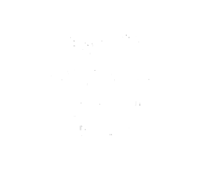 O=C([O-])Cc1ccccc1[N+](=O)[O-].O=P([O-])(O)Oc1c[nH]c2ccc(Br)c(Cl)c12.[Na+].[Na+]